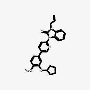 C=CCn1c(=O)n(-c2ccc(-c3ccc(OC)c(OC4CCCC4)c3)cn2)c2ccccc21